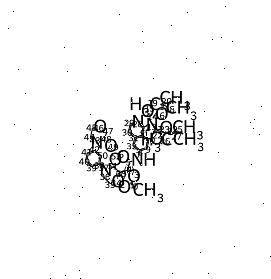 CC(=O)O[C@@H](C(=O)Nc1ccc2c(N(C(=O)OC(C)(C)C)C(=O)OC(C)(C)C)nccc2c1)[C@H]1OCCN(c2cccc(N3CCOCC3=O)c2)C1=O